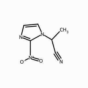 CC(C#N)n1ccnc1[N+](=O)[O-]